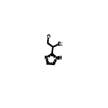 CCC(C[O])c1ncc[nH]1